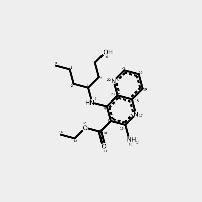 CCCC(CCO)Nc1c(C(=O)OCC)c(N)nc2cccnc12